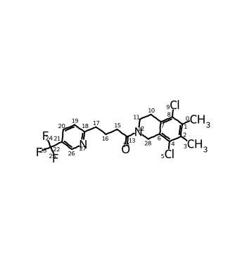 Cc1c(C)c(Cl)c2c(c1Cl)CCN(C(=O)CCCc1ccc(C(F)(F)F)cn1)C2